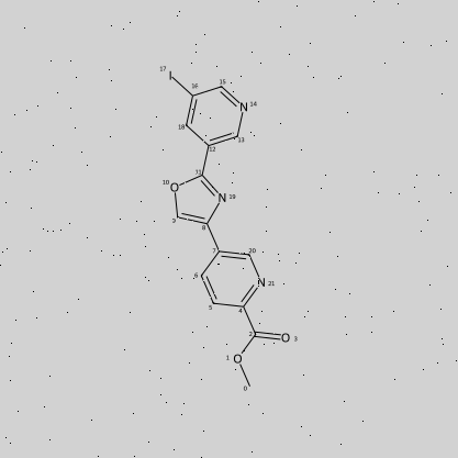 COC(=O)c1ccc(-c2coc(-c3cncc(I)c3)n2)cn1